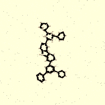 c1ccc(-c2cc(-c3ccccc3)cc(-c3ccc4c(c3)oc3ccc(-c5nc(-c6ccccc6)nc(-c6ccccc6)n5)cc34)c2)cc1